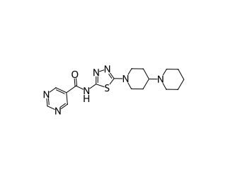 O=C(Nc1nnc(N2CCC(N3CCCCC3)CC2)s1)c1cncnc1